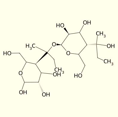 CCC(C)(O)[C@@H]1C(CO)O[C@@H](OC(C)(CC)[C@@H]2C(CO)OC(O)[C@@H](O)C2O)[C@@H](O)C1O